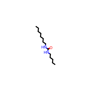 CCCCCCCCNC(=O)NCCCCC